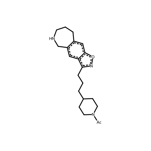 CC(=O)N1CCC(CCCc2noc3cc4c(cc23)CNCCC4)CC1